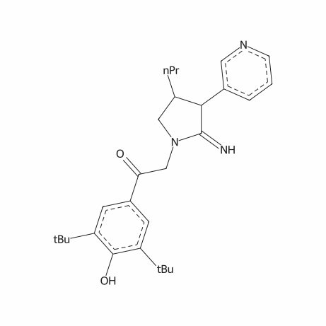 CCCC1CN(CC(=O)c2cc(C(C)(C)C)c(O)c(C(C)(C)C)c2)C(=N)C1c1cccnc1